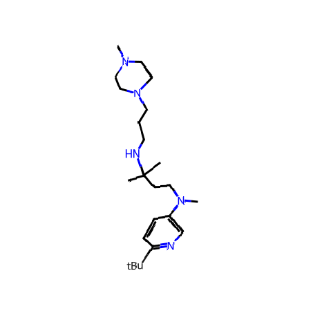 CN1CCN(CCCNC(C)(C)CCN(C)c2ccc(C(C)(C)C)nc2)CC1